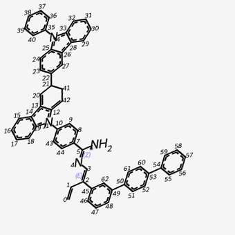 C=C/C(=C\N=C(/N)c1ccc(-n2c3c(c4ccccc42)=CC(c2ccc4c(c2)c2ccccc2n4-c2ccccc2)CC=3)cc1)c1cccc(-c2ccc(-c3ccccc3)cc2)c1